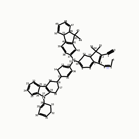 C#CC1=C(/C=C\C)C2=CC=C(N(C3=CCC(C4CCc5c(c6ccccc6n5C5=CC=CCC5)C4)C=C3)c3ccc4c(c3)C(C)(C)C3C=CC=CC43)CC2C1(C)C